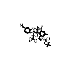 COC(=O)COC(c1nc2cc(C#N)ccc2o1)(c1c(OC)cc(C)c2c1ccn2C(=O)OC(C)(C)C)C(F)(F)F